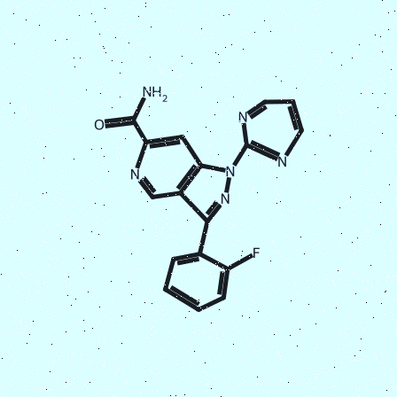 NC(=O)c1cc2c(cn1)c(-c1ccccc1F)nn2-c1ncccn1